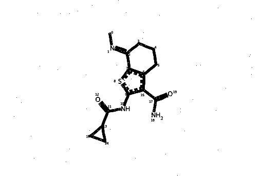 C/N=C1\CCCc2c1sc(NC(=O)C1CC1)c2C(N)=O